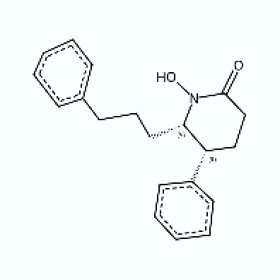 O=C1CC[C@H](c2ccccc2)[C@H](CCCc2ccccc2)N1O